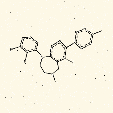 Cc1ccc(-c2ccc3c(c2F)CN(C)CCC3c2cccc(F)c2F)nn1